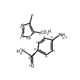 Cc1nnsc1C(=O)O.NC(=O)c1ccc(N)cc1